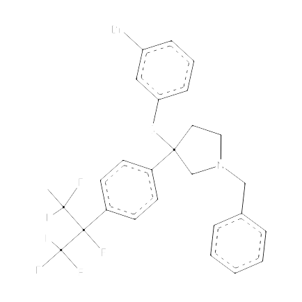 FC(F)(F)C(F)(c1ccc(C2(Sc3cccc(Br)c3)CCN(Cc3ccccc3)C2)cc1)C(F)(F)F